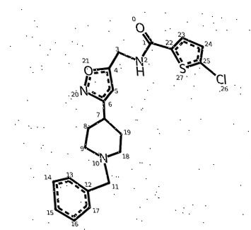 O=C(NCc1cc(C2CCN(Cc3ccccc3)CC2)no1)c1ccc(Cl)s1